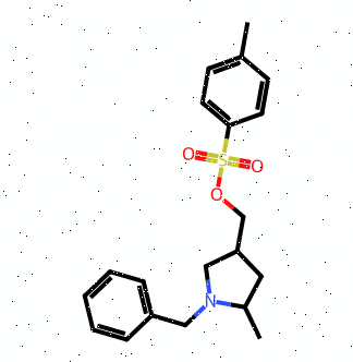 Cc1ccc(S(=O)(=O)OCC2CC(C)N(Cc3ccccc3)C2)cc1